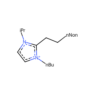 CCCCCCCCCCCc1n(C(C)C)cc[n+]1CCCC